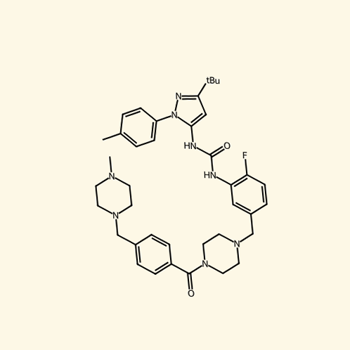 Cc1ccc(-n2nc(C(C)(C)C)cc2NC(=O)Nc2cc(CN3CCN(C(=O)c4ccc(CN5CCN(C)CC5)cc4)CC3)ccc2F)cc1